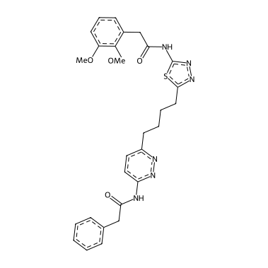 COc1cccc(CC(=O)Nc2nnc(CCCCc3ccc(NC(=O)Cc4ccccc4)nn3)s2)c1OC